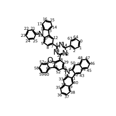 c1ccc(-c2nc(-c3ccc4c(c3)c3ccccc3n4-c3ccccc3)nc(-c3cc(-n4c5cc6ccccc6cc5c5cc6ccccc6cc54)cc4c3oc3ccccc34)n2)cc1